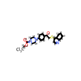 O=C(CSc1ccnc2ccccc12)c1ccc(N2CCN(C(=O)OCC(Cl)(Cl)Cl)CC2)cc1